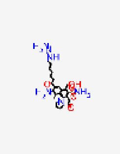 Cc1c(N)c(C(=O)CCCCCCNC=NN)cc2c(CO)c(S(N)(=O)=O)c(CC=O)c(N3CCCC3)c12